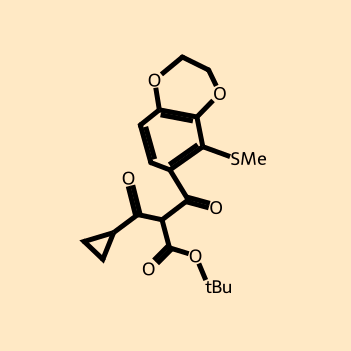 CSc1c(C(=O)C(C(=O)OC(C)(C)C)C(=O)C2CC2)ccc2c1OCCO2